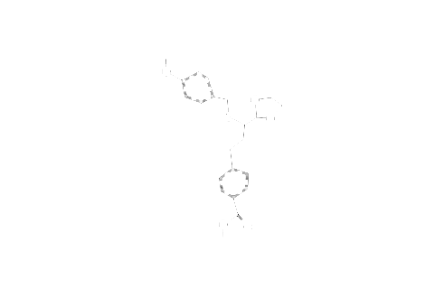 COC(=O)c1ccc(CCC(SCc2ccc(OC)cc2)C2OCCO2)cc1